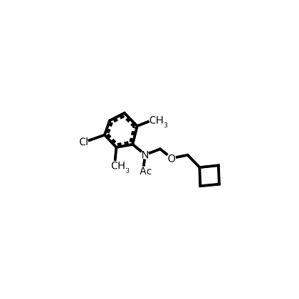 CC(=O)N(COCC1CCC1)c1c(C)ccc(Cl)c1C